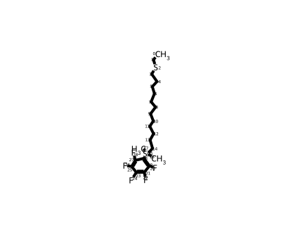 CCSCCCCCCCCCCCC[Si](C)(C)c1c(F)c(F)c(F)c(F)c1F